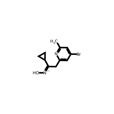 Cc1cc(Br)cc(C/C(=N/O)C2CC2)n1